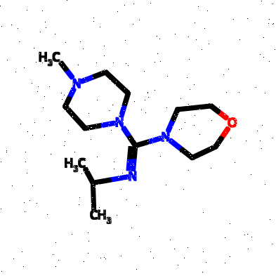 CC(C)N=C(N1CCOCC1)N1CCN(C)CC1